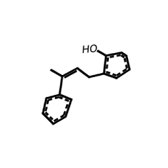 CC(=CCc1ccccc1O)c1ccccc1